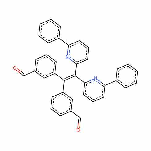 O=Cc1cccc(C(=C(c2cccc(-c3ccccc3)n2)c2cccc(-c3ccccc3)n2)c2cccc(C=O)c2)c1